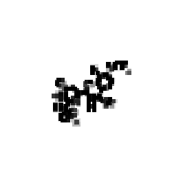 CC(C)[C@@H](NC(=O)c1cc(=O)[nH]c(S(C)(=O)=O)n1)c1ccc(SC(F)(F)F)c(F)c1